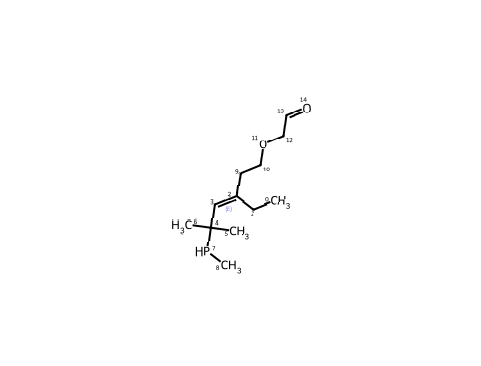 CC/C(=C\C(C)(C)PC)CCOCC=O